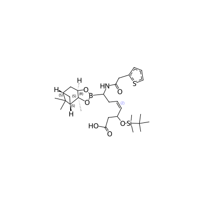 CC1(C)[C@@H]2C[C@H]3OB(C(C/C=C\C(CC(=O)O)O[Si](C)(C)C(C)(C)C)NC(=O)Cc4cccs4)O[C@@]3(C)[C@H]1C2